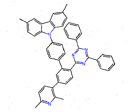 Cc1ccc2c(c1)c1cc(C)ccc1n2-c1ccc(-c2cc(-c3ccc(C)nc3C)ccc2-c2nc(-c3ccccc3)nc(-c3ccccc3)n2)cc1